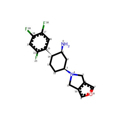 N[C@H]1C[C@@H](N2Cc3cocc3C2)CC[C@@H]1c1cc(F)c(F)cc1F